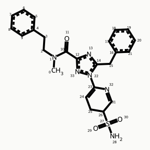 CN(CCc1ccccc1)C(=O)c1nc(Cc2ccccc2)n(C2=CCC(S(N)(=O)=O)C=N2)n1